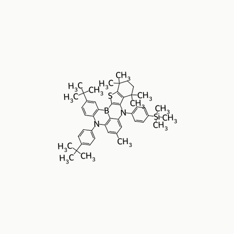 Cc1cc2c3c(c1)N(c1ccc([Si](C)(C)C)cc1)c1c(sc4c1C(C)(C)CCC4(C)C)B3c1cc(C(C)(C)C)ccc1N2c1ccc(C(C)(C)C)cc1